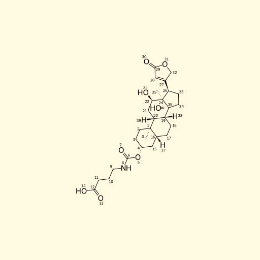 C[C@@]12CC[C@@H](OC(=O)NCCCC(=O)O)C[C@H]1CC[C@@H]1[C@H]2C[C@@H](O)[C@@]2(C)[C@@H](C3=CC(=O)OC3)CC[C@@]12O